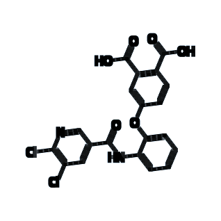 O=C(Nc1ccccc1Oc1ccc(C(=O)O)c(C(=O)O)c1)c1cnc(Cl)c(Cl)c1